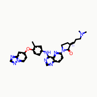 Cc1cc(Nc2ncnc3ccc(N4CC/C(=C\CCN(C)C)C4=O)nc23)ccc1Oc1ccn2ncnc2c1